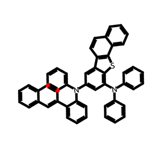 c1ccc(N(c2cc(N(c3ccccc3)c3ccccc3)c3sc4c5ccccc5ccc4c3c2)c2ccccc2-c2ccc3ccccc3c2)cc1